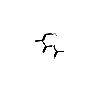 C=C(NC(C)=O)/C(C)=C\N